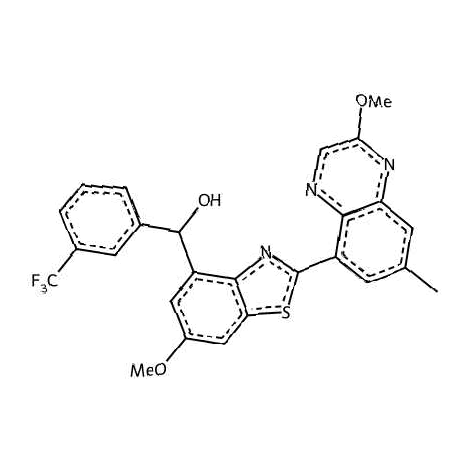 COc1cc(C(O)c2cccc(C(F)(F)F)c2)c2nc(-c3cc(C)cc4nc(OC)cnc34)sc2c1